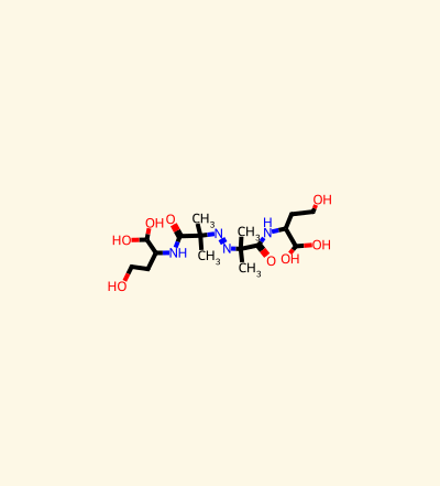 CC(C)(N=NC(C)(C)C(=O)NC(CCO)C(O)O)C(=O)NC(CCO)C(O)O